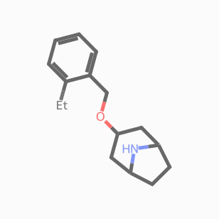 CCc1ccccc1COC1CC2CCC(C1)N2